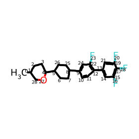 CC1CCC(C2CCC(c3ccc(-c4cc(F)c(F)c(F)c4)c(F)c3)CC2)OC1